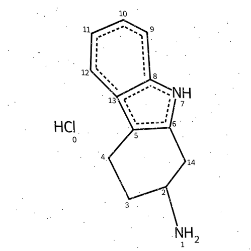 Cl.NC1CCc2c([nH]c3ccccc23)C1